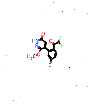 COc1n[nH]c(=O)cc1-c1cc(Cl)ccc1C(=O)C(F)F